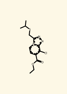 CCOC(=O)c1ccn2c(CSC(C)C)nnc2c1Cl